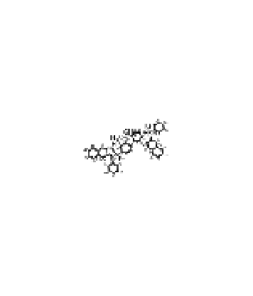 CCC(C)(c1ccc2c(c1)C(C)(C)c1cc3c(cc1-2)C3(CC)N(c1ccccc1)c1ccc2ccccc2c1)N(c1ccccc1)c1ccc2ccccc2c1